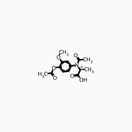 COc1cc(N(C(C)=O)[C@@H](C)C(=O)O)ccc1OC(C)=O